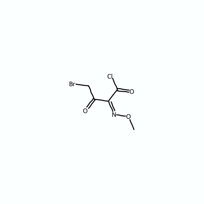 CO/N=C(\C(=O)Cl)C(=O)CBr